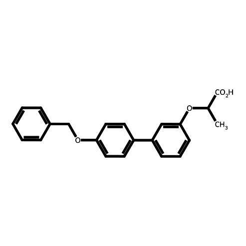 CC(Oc1cccc(-c2ccc(OCc3ccccc3)cc2)c1)C(=O)O